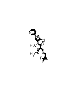 CON=C(CSCC1CC1(F)F)C(=O)N(C)c1cn(-c2cccnc2)nc1Cl